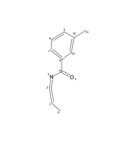 CC=C=NC(=O)c1cccc(C)c1